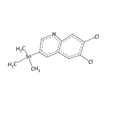 [CH3][Sn]([CH3])([CH3])[c]1cnc2cc(Cl)c(Cl)cc2c1